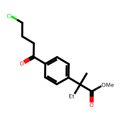 CCC(C)(C(=O)OC)c1ccc(C(=O)CCCCl)cc1